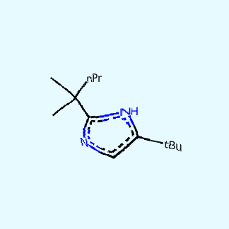 CCCC(C)(C)c1ncc(C(C)(C)C)[nH]1